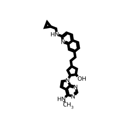 CNc1ncnc2c1ccn2C1CC(CCc2ccc3ccc(NCC4CC4)nc3c2)CC1O